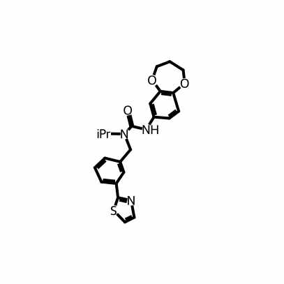 CC(C)N(Cc1cccc(-c2nccs2)c1)C(=O)Nc1ccc2c(c1)OCCCO2